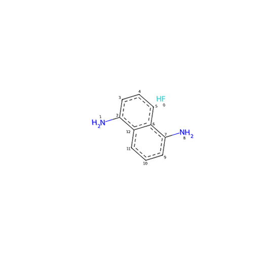 F.Nc1cccc2c(N)cccc12